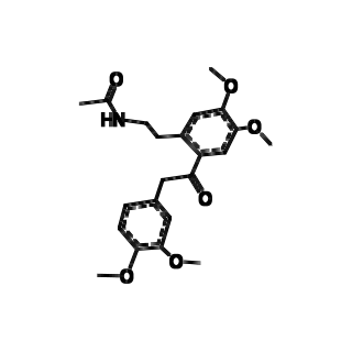 COc1ccc(CC(=O)c2cc(OC)c(OC)cc2CCNC(C)=O)cc1OC